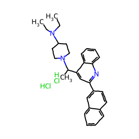 CCN(CC)C1CCN(C(C)c2cc(-c3ccc4ccccc4c3)nc3ccccc23)CC1.Cl.Cl